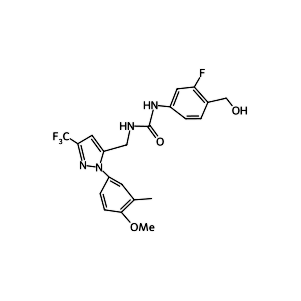 COc1ccc(-n2nc(C(F)(F)F)cc2CNC(=O)Nc2ccc(CO)c(F)c2)cc1C